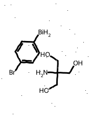 Brc1cc[c]([BiH2])cc1.NC(CO)(CO)CO